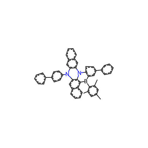 Cc1cc(C)c(B2c3cc(-c4ccccc4)ccc3N3c4cc5ccccc5cc4N(c4ccc(-c5ccccc5)cc4)c4cc5ccccc5c2c43)c(C)c1